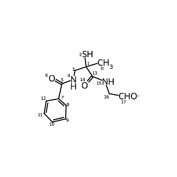 CC(S)(CNC(=O)c1ccccc1)C(=O)NC[C]=O